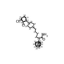 NC(=O)N(CCCCN1CCN(c2cccc(Cl)c2Cl)CC1)[C]12[CH]3[CH]4[CH]5[CH]1[Fe]45321678[CH]2[CH]1[CH]6[CH]7[CH]28